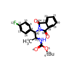 C[C@H](NC(=O)OC(C)(C)C)[C@@H](c1ccc(F)cc1)N1C(=O)c2ccccc2C1=O